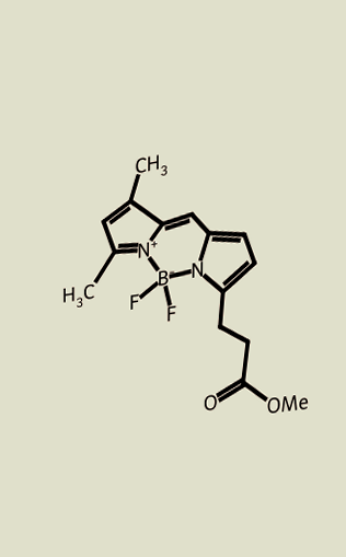 COC(=O)CCc1ccc2n1[B-](F)(F)[N+]1=C(C)C=C(C)C1=C2